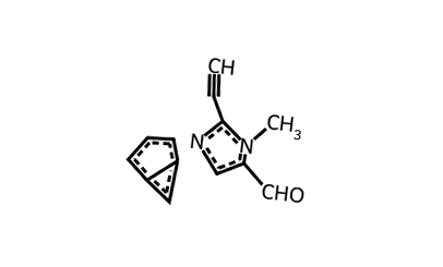 C#Cc1ncc(C=O)n1C.c1cc2cc-2c1